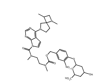 CC1CN(C)C12CCN(c1ncnc3c1ccn3C(=O)N(C)CCN(C)C(=O)OCc1ccc(OC3CC(O)CC(C(=O)O)O3)c([N+](=O)[O-])c1)C2